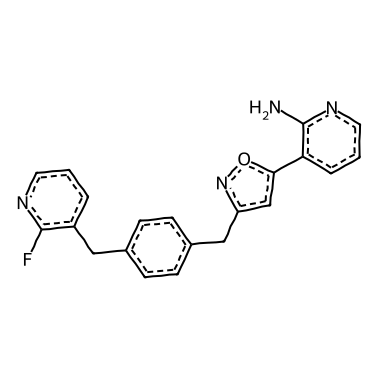 Nc1ncccc1-c1cc(Cc2ccc(Cc3cccnc3F)cc2)no1